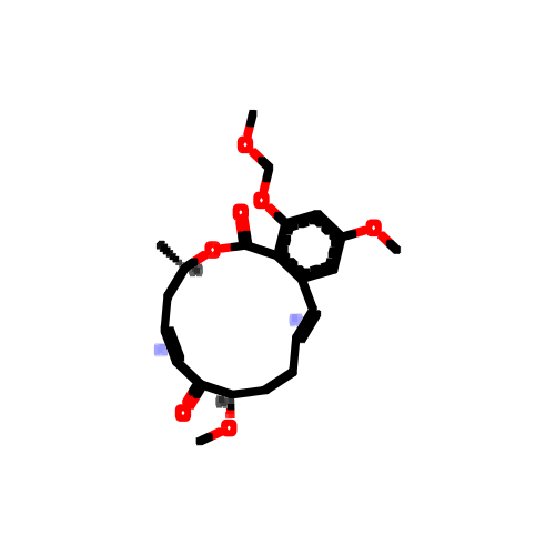 COCOc1cc(OC)cc2c1C(=O)O[C@@H](C)C/C=C\C(=O)[C@@H](OC)CC/C=C/2